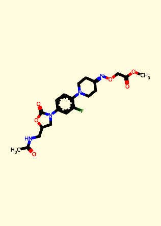 COC(=O)CON=C1CCN(c2ccc(N3CC(CNC(C)=O)OC3=O)cc2F)CC1